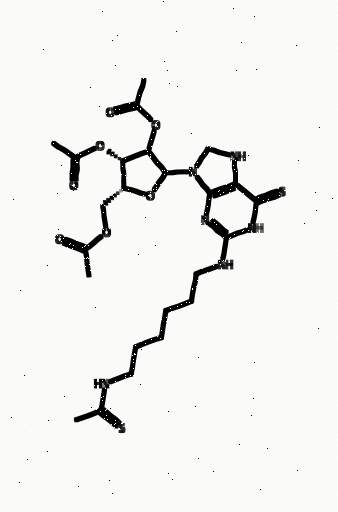 CC(=O)OC[C@H]1OC(N2CNc3c2nc(NCCCCCCNC(C)=S)[nH]c3=S)C(OC(C)=O)[C@H]1OC(C)=O